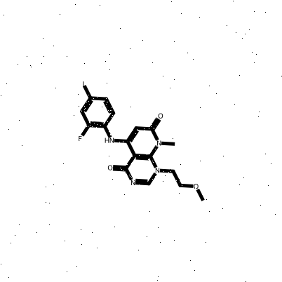 COCCn1cnc(=O)c2c(Nc3ccc(I)cc3F)cc(=O)n(C)c21